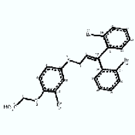 O=C(O)COc1ccc(SCC=C(c2ccccc2Br)c2ccccc2Br)cc1Br